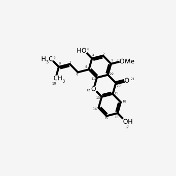 COc1cc(O)c(CC=C(C)C)c2oc3ccc(O)cc3c(=O)c12